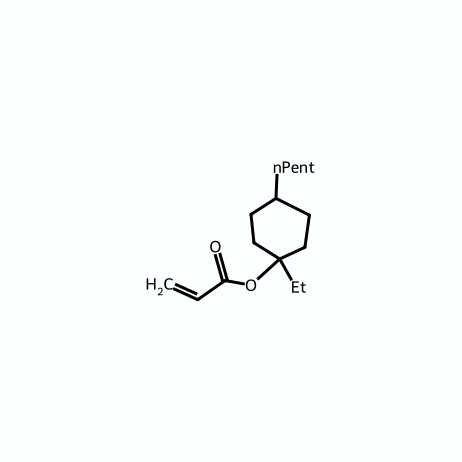 C=CC(=O)OC1(CC)CCC(CCCCC)CC1